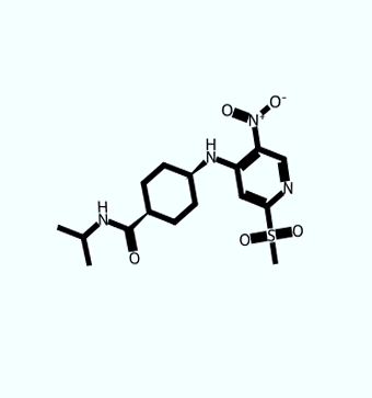 CC(C)NC(=O)[C@H]1CC[C@@H](Nc2cc(S(C)(=O)=O)ncc2[N+](=O)[O-])CC1